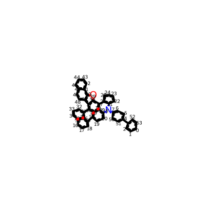 c1ccc(-c2ccc(N(c3ccc(-c4ccccc4)cc3)c3ccccc3-c3ccc(-c4ccccc4)c4c3oc3c5ccccc5ccc34)cc2)cc1